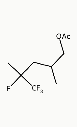 CC(=O)OCC(C)CC(C)(F)C(F)(F)F